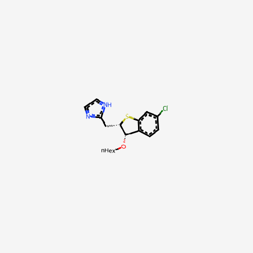 CCCCCCO[C@H]1c2ccc(Cl)cc2S[C@H]1Cc1ncc[nH]1